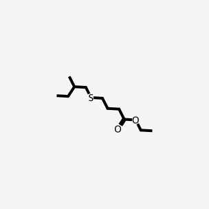 CCOC(=O)CCCSCC(C)CC